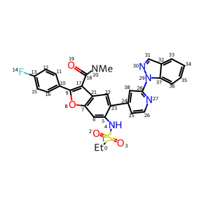 CCS(=O)(=O)Nc1cc2oc(-c3ccc(F)cc3)c(C(=O)NC)c2cc1-c1ccnc(-n2ncc3ccccc32)c1